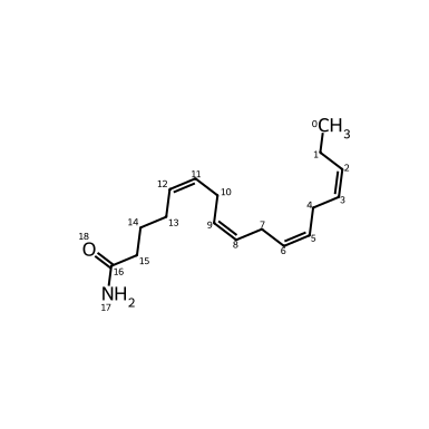 CC/C=C\C/C=C\C/C=C\C/C=C\CCCC(N)=O